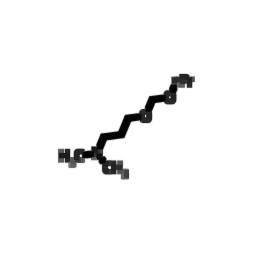 CCCOCOCCCN(C)C